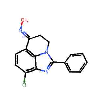 O/N=C1\CCn2c(-c3ccccc3)nc3c(Cl)ccc1c32